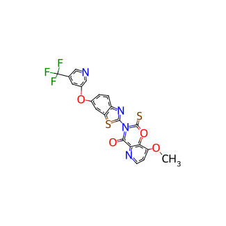 COc1ccnc2c(=O)n(-c3nc4ccc(Oc5cncc(C(F)(F)F)c5)cc4s3)c(=S)oc12